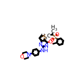 CC(C)S(=O)(=O)c1ccccc1COc1nc(Nc2ccc(N3CCOCC3)cc2)nc2ccsc12